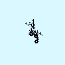 Cc1cc(Oc2ccccc2)ccc1N1C(=O)Nc2c(C(=O)N[C@@H]3CCNC(C)C3)sc3nccc1c23